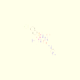 NCC12CN(S(=O)(=O)c3ccc4cc(Cl)ccc4c3)CC(=O)N1CC1(CCN(c3ccncc3)CC1)O2